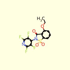 CCOc1cccc2c1C(=O)N(c1c(F)c(F)nc(F)c1F)S2(=O)=O